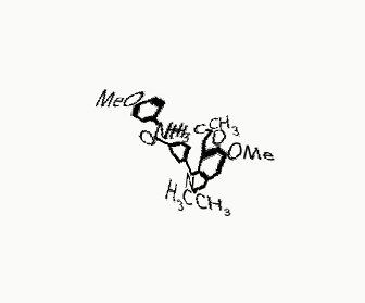 COc1ccc(NC(=O)c2ccc(C3=NC(C)(C)Cc4cc(OC)c5c(c43)CC(C)(C)O5)cc2)cc1